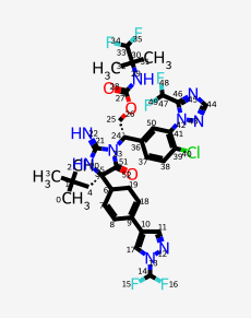 CC(C)(C)C[C@]1(C2C=CC(c3cnn(C(F)F)c3)=CC2)NC(=N)N([C@H](COC(=O)NC(C)(C)C(F)F)c2ccc(Cl)c(-n3ncnc3C(F)F)c2)C1=O